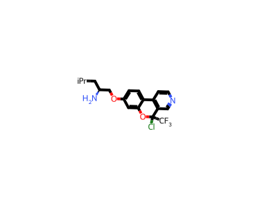 CC(C)C[C@H](N)COc1ccc2c(c1)OC(Cl)(C(F)(F)F)c1cnccc1-2